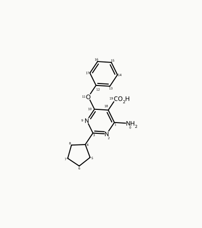 Nc1nc(C2CCCC2)nc(Oc2ccccc2)c1C(=O)O